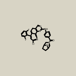 O=C(c1ccc(Nc2ncc3c(n2)C2=CN=C(Cl)C=C(c4c(F)cccc4F)C2=CC3)cc1)N1CC2CCC(C1)N2